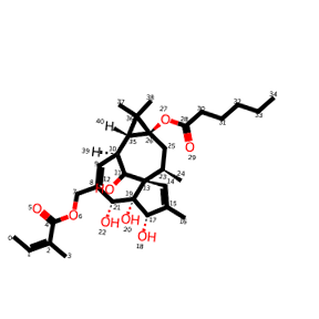 C/C=C(/C)C(=O)OCC1=C[C@@H]2C(O)[C@]3(C=C(C)[C@H](O)[C@@]3(O)[C@@H]1O)[C@H](C)C[C@]1(OC(=O)CCCCC)[C@H]2C1(C)C